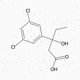 CCC(O)(CC(=O)O)c1cc(Cl)cc(Cl)c1